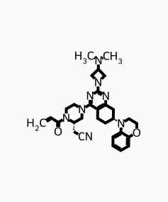 C=CC(=O)N1CCN(c2nc(N3CC(N(C)C)C3)nc3c2CC[C@@H](N2CCOc4ccccc42)C3)C[C@@H]1CC#N